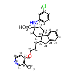 O=C(O)C1(Nc2cccc(Cl)c2)CCC2(CC1)c1ccccc1CC2CCCOc1ccncc1C(F)(F)F